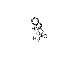 CS(=O)(=O)Cc1cc2ccccc2[nH]1